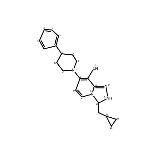 N#CC1=C(N2CCC(c3ccccc3)CC2)C=CN2C1=NNC2CC1CC1